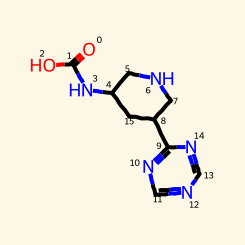 O=C(O)NC1CNCC(c2ncncn2)C1